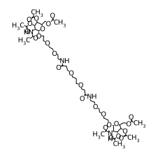 CC(=O)N[C@@H]1[C@H](OCCOCCOCCNC(=O)CCOCCCOCCC(=O)NCCOCCOCCO[C@@H]2OC(COC(C)=O)[C@H](OC(C)=O)C(OC(C)=O)[C@@H]2NC(C)=O)OC(COC(C)=O)C(OC(C)=O)[C@@H]1OC(C)=O